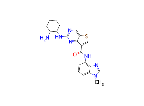 Cn1cnc2c(NC(=O)c3csc4cnc(NC5CCCCC5N)nc34)cccc21